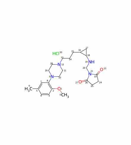 COc1ccc(C)cc1N1CCN(CCCC2CC2NCN2C(=O)CCC2=O)CC1.Cl